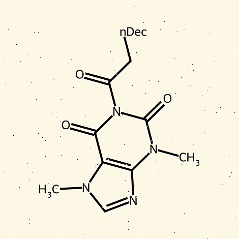 CCCCCCCCCCCC(=O)n1c(=O)c2c(ncn2C)n(C)c1=O